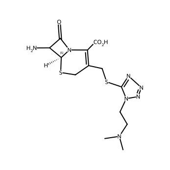 CN(C)CCn1nnnc1SCC1=C(C(=O)O)N2C(=O)C(N)[C@@H]2SC1